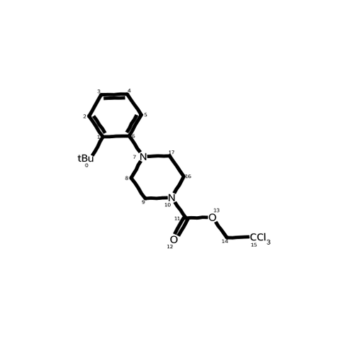 CC(C)(C)c1ccccc1N1CCN(C(=O)OCC(Cl)(Cl)Cl)CC1